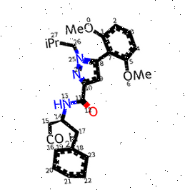 COc1cccc(OC)c1-c1cc(C(=O)N[C@H](CC(=O)O)Cc2ccccc2)nn1CC(C)C